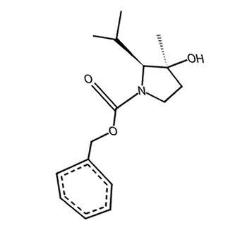 CC(C)[C@@H]1N(C(=O)OCc2ccccc2)CC[C@]1(C)O